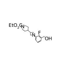 CCOC(=O)N1CCC(C2CN(c3cccc(CO)c3F)C2)CC1